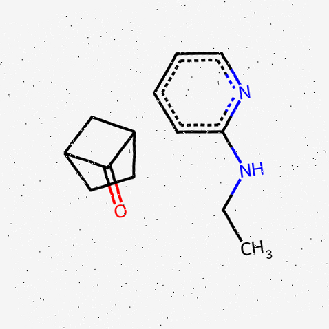 CCNc1ccccn1.O=C1C2CCC1C2